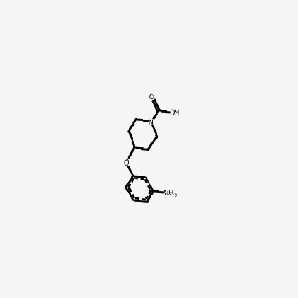 Nc1cccc(OC2CCN(C(=O)O)CC2)c1